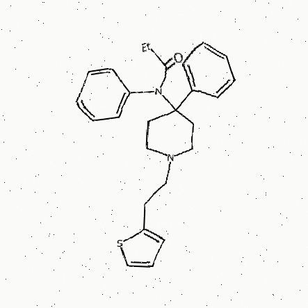 CCC(=O)N(c1ccccc1)C1(c2ccccc2)CCN(CCc2cccs2)CC1